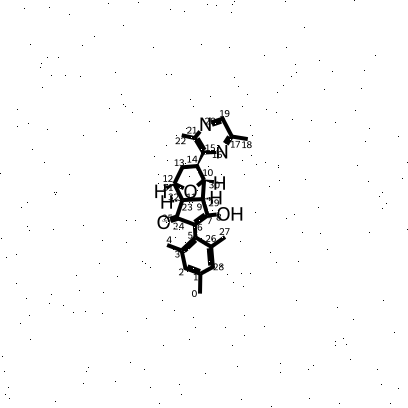 Cc1cc(C)c(C2=C(O)[C@@H]3[C@@H]4O[C@@H](C[C@H]4c4nc(C)cnc4C)[C@@H]3C2=O)c(C)c1